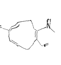 CN/C1=C(\F)C/C=C\C(F)=C/C1